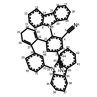 N#Cc1cc(C#N)c(-n2c3ccccc3c3ccccc32)c(C2=CCCC=C2c2cccc(-n3c4ccccc4c4ccccc43)c2)c1